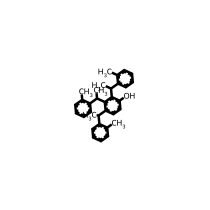 Cc1ccccc1C(C)c1ccc(O)c(C(C)c2ccccc2C)c1C(C)c1ccccc1C